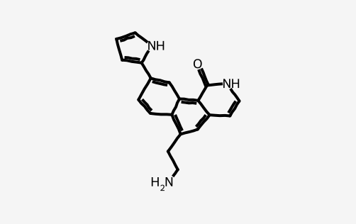 NCCc1cc2cc[nH]c(=O)c2c2cc(-c3ccc[nH]3)ccc12